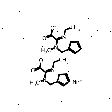 CCN=C(C(=O)[O-])N(C)CC1=CC=CC1.CCN=C(C(=O)[O-])N(C)CC1=CC=CC1.[Ni+2]